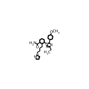 CCc1nc(-c2ccc(OC)cc2)n(-c2cccc(C(N)=O)c2CCCCn2cccn2)n1